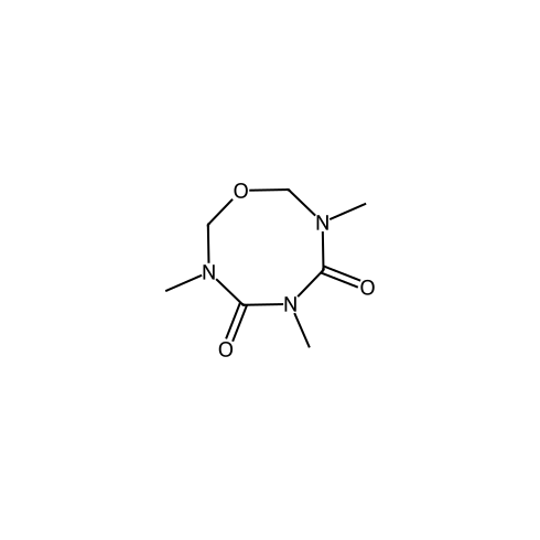 CN1COCN(C)C(=O)N(C)C1=O